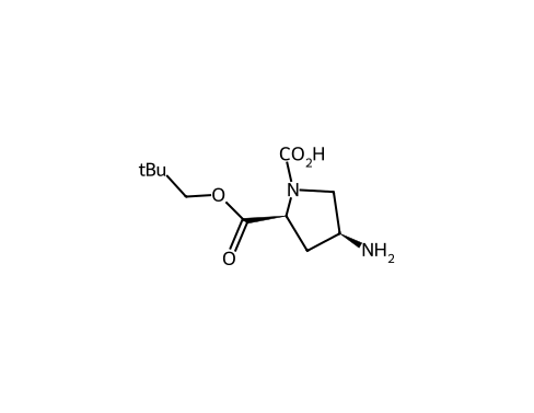 CC(C)(C)COC(=O)[C@@H]1C[C@H](N)CN1C(=O)O